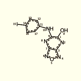 Oc1nc2nonc2nc1Nc1ccc(I)cc1